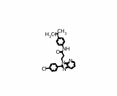 CN(C)c1ccc(NC(=O)CCn2c(-c3ccc(Cl)cc3)nc3cccnc32)cc1